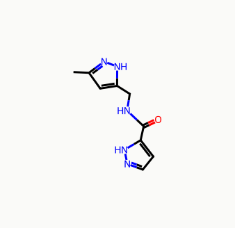 Cc1cc(CNC(=O)c2ccn[nH]2)[nH]n1